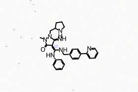 CN1C(=O)/C(=C(/NCc2ccc(-c3ccccn3)cc2)Nc2ccccc2)C(=N)N1CC1CCCN1